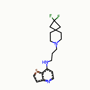 FC1(F)CC2(CCN(CCCNc3ccnc4ccsc34)CC2)C1